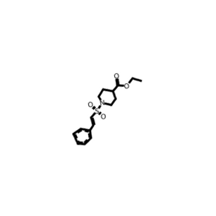 CCOC(=O)C1CCN(S(=O)(=O)/C=C/c2ccccc2)CC1